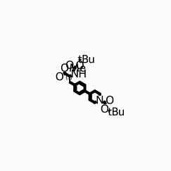 COC(=O)[C@H](Cc1ccc(C2=CCN(C(=O)OC(C)(C)C)CC2)cc1)NC(=O)OC(C)(C)C